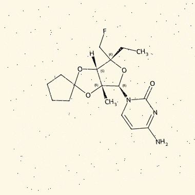 CC[C@@]1(CF)O[C@@H](n2ccc(N)nc2=O)[C@]2(C)OC3(CCCC3)O[C@H]12